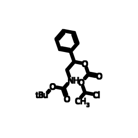 CC(Cl)OC(=O)OC(CNC(=O)OC(C)(C)C)c1ccccc1